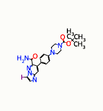 CC(C)(C)OC(=O)N1CCN(c2ccc(-c3cc4ncc(I)n4nc3C(N)=O)cc2)CC1